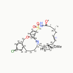 CO[C@H]1/C=C/C[C@@H](C)CC(=O)NS(=O)(=O)c2ccc3c(c2)N(CCCCc2cc(Cl)ccc2CO3)C[C@@H]2CC[C@H]21